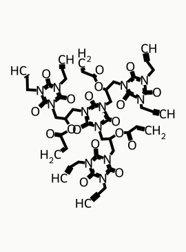 C#CCn1c(=O)n(CC#C)c(=O)n(CC(Cn2c(=O)n(CC(Cn3c(=O)n(CC#C)c(=O)n(CC#C)c3=O)OC(=O)C=C)c(=O)n(CC(Cn3c(=O)n(CC#C)c(=O)n(CC#C)c3=O)OC(=O)C=C)c2=O)OC(=O)C=C)c1=O